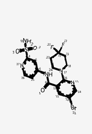 NS(=O)(=O)c1cc(NC(=O)c2cc(Br)cnc2N2CCC(F)(F)CC2)ccn1